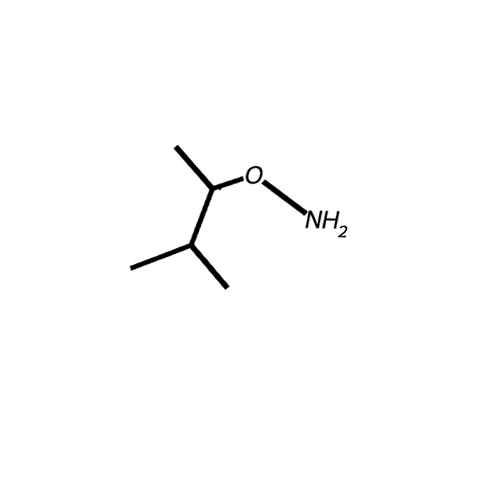 C[C](ON)C(C)C